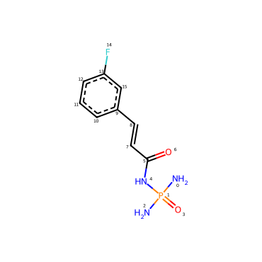 NP(N)(=O)NC(=O)C=Cc1cccc(F)c1